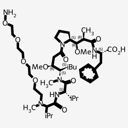 CC[C@H](C)[C@@H]([C@@H](CC(=O)N1CCC[C@H]1[C@H](OC)[C@@H](C)C(=O)N[C@@H](Cc1ccccc1)C(=O)O)OC)N(C)C(=O)[C@@H](NC(=O)C(C(C)C)N(C)CCOCCOCCOCCON)C(C)C